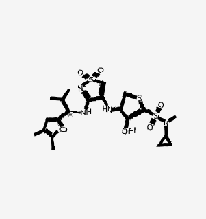 Cc1cc([C@H](NC2=NS(=O)(=O)C=C2NC2CSC(S(=O)(=O)N(C)C3CC3)=C2O)C(C)C)oc1C